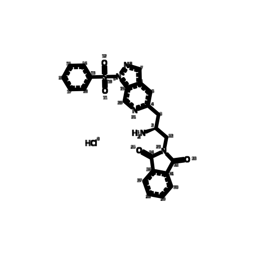 Cl.N[C@@H](Cc1cc2cnn(S(=O)(=O)c3ccccc3)c2cn1)CN1C(=O)c2ccccc2C1=O